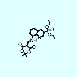 CCOP(=O)(OCC)c1cnc2c(NC=C3C(=O)OC(C)(C)OC3=O)cccc2c1